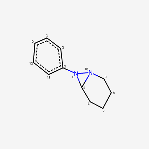 c1ccc(N2C3CCCCN32)cc1